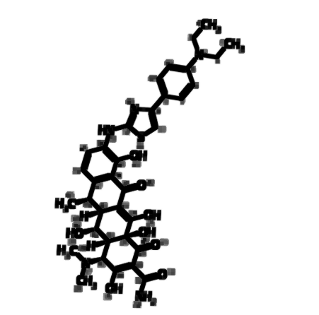 CCN(CC)c1ccc(-c2csc(Nc3ccc4c(c3O)C(=O)C3=C(O)[C@]5(O)C(=O)C(C(N)=O)=C(O)[C@@H](N(C)C)[C@@H]5[C@@H](O)[C@@H]3[C@H]4C)n2)cc1